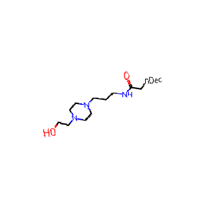 CCCCCCCCCCCC(=O)NCCCN1CCN(CCO)CC1